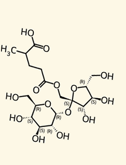 CC(CCC(=O)OC[C@@]1(O[C@H]2O[C@H](CO)[C@@H](O)[C@H](O)[C@H]2O)O[C@H](CO)[C@@H](O)[C@@H]1O)C(=O)O